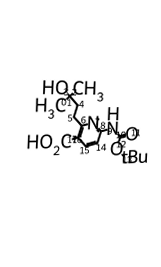 CC(C)(O)CCc1nc(NC(=O)OC(C)(C)C)ccc1C(=O)O